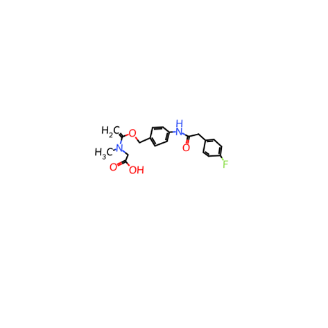 C=C(OCc1ccc(NC(=O)Cc2ccc(F)cc2)cc1)N(C)CC(=O)O